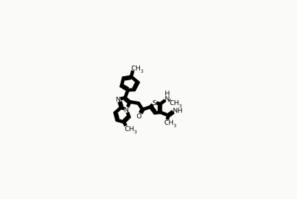 CNc1sc(C(=O)Cc2c(-c3ccc(C)cc3)nc3ccc(C)cn23)cc1C(C)=N